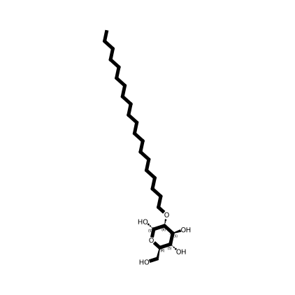 CCCCCCCCCCCCCCCCCCCCO[C@@H]1[C@@H](O)[C@H](O)[C@@H](CO)O[C@@H]1O